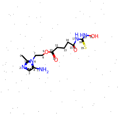 Cc1ncc(N)n1CCOC(=O)CCCC(=O)NC(=S)NO